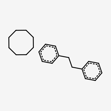 C1CCCCCCC1.c1ccc(CCc2ccccc2)cc1